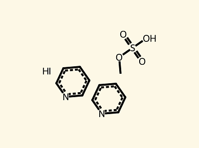 COS(=O)(=O)O.I.c1ccncc1.c1ccncc1